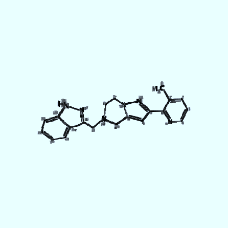 Cc1cccnc1-c1cc2n(n1)CCN(Cc1n[nH]c3ccccc13)C2